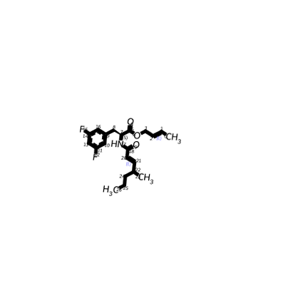 C/C=C/COC(=O)[C@H](Cc1cc(F)cc(F)c1)NC(=O)/C=C/C(C)CCC